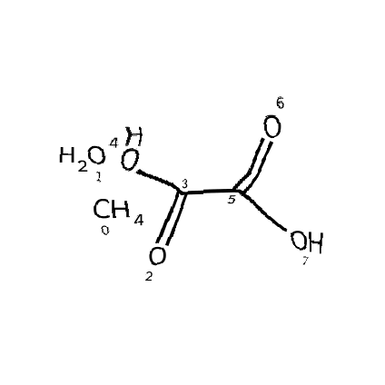 C.O.O=C(O)C(=O)O